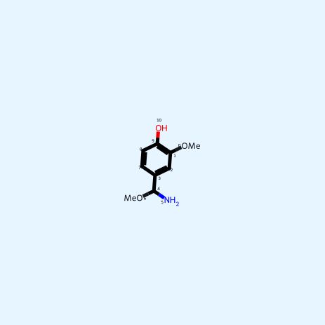 COc1cc(C(N)OC)ccc1O